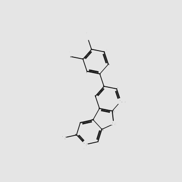 Nc1cc2c(cn1)[nH]c1ncc(-c3ccc(F)c(Cl)c3)cc12